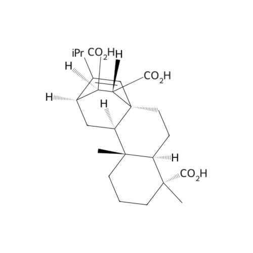 CC(C)C1=C[C@@]23CC[C@@H]4[C@](C)(CCC[C@@]4(C)C(=O)O)[C@H]2C[C@@H]1[C@@H](C(=O)O)[C@@H]3C(=O)O